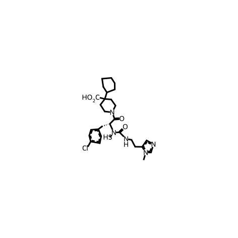 Cn1cncc1CCNC(=O)N(S)[C@H](Cc1ccc(Cl)cc1)C(=O)N1CCC(C(=O)O)(C2CCCCC2)CC1